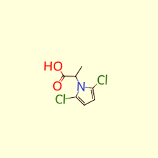 CC(C(=O)O)n1c(Cl)ccc1Cl